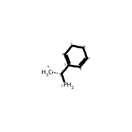 C[C@@H](P)C1=CCCC=C1